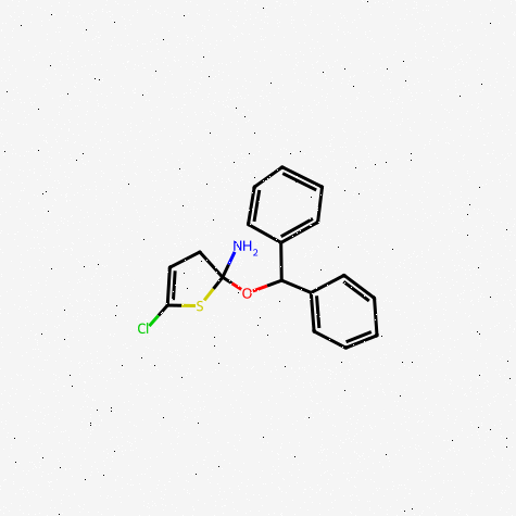 NC1(OC(c2ccccc2)c2ccccc2)CC=C(Cl)S1